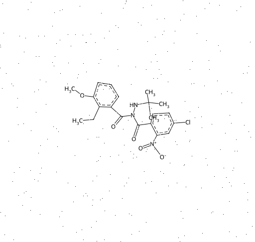 CCc1c(OC)cccc1C(=O)N(NC(C)(C)C)C(=O)c1ccc(Cl)cc1[N+](=O)[O-]